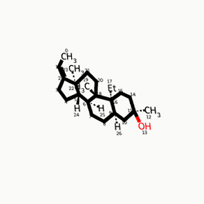 C/C=C1/CC[C@H]2[C@@H]3CC[C@@H]4C[C@](C)(O)CC[C@]4(CC)[C@@]3(C)CC[C@]12C